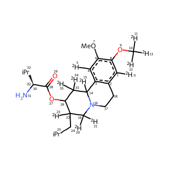 [2H]c1c2c(c([2H])c(OC)c1OC([2H])([2H])[2H])C1([2H])N(CC2)C([2H])([2H])C([2H])(CC(C)C)C(OC(=O)[C@@H](N)C(C)C)C1([2H])[2H]